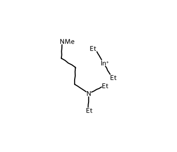 CCN(CC)CCC[N-]C.C[CH2][In+][CH2]C